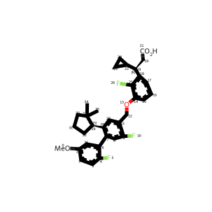 COc1ccc(F)c(-c2cc(F)c(COc3cccc([C@H](CC(=O)O)C4CC4)c3F)cc2[C@H]2CCCC2(C)C)c1